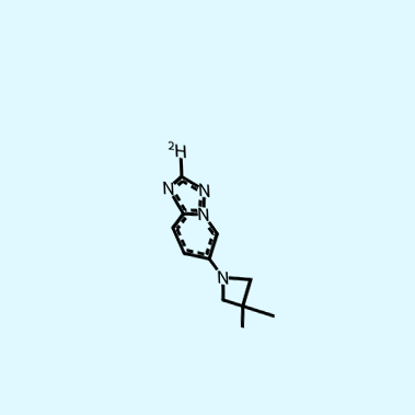 [2H]c1nc2ccc(N3CC(C)(C)C3)cn2n1